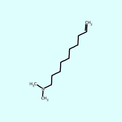 C=CCCCCCCCCN(C)C